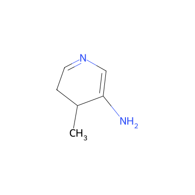 CC1CC=NC=C1N